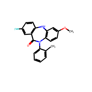 COc1ccc2c(c1)Nc1ccc(F)cc1C(=O)N2c1ccccc1C